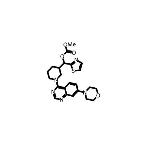 COC(=O)OC(c1nccs1)C1CCCN(c2ncnc3cc(N4CCOCC4)ccc23)C1